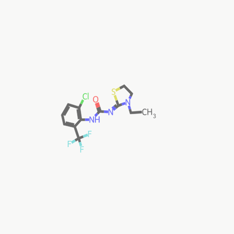 CCN1CCSC1=NC(=O)Nc1c(Cl)cccc1C(F)(F)F